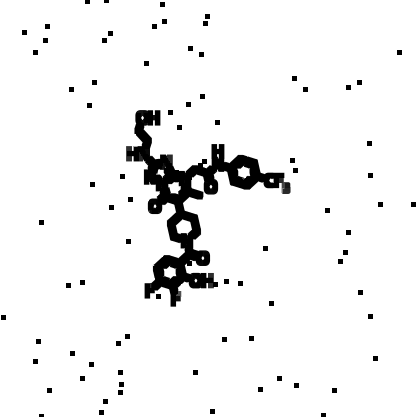 Cc1c(C2CCN(C(=O)c3ccc(F)c(F)c3O)CC2)c(=O)n2nc(NCCO)nc2n1CC(=O)Nc1ccc(C(F)(F)F)cc1